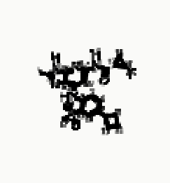 Cc1nc2c(Nc3ccc(C4CCC4)cc3S(C)(=O)=O)cc(NC(=O)[C@@H]3C[C@@H]3F)nc2[nH]1